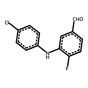 O=Cc1ccc(F)c(Nc2ccc(Cl)cc2)c1